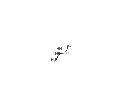 BBBCC.[HH]